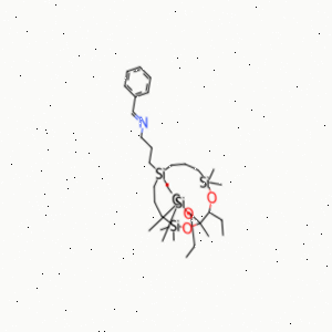 CCC1O[Si](C)(C)CCC[Si]2(CCC/N=C/c3ccccc3)CCC[Si](C)(C)OC(CC)C1(C)O[Si](C)(C)CCC2